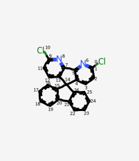 Clc1ccc2c(n1)-c1nc(Cl)ccc1C21c2ccccc2-c2ccccc21